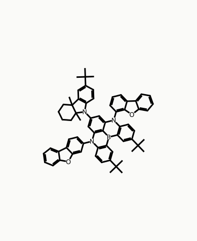 CC(C)(C)c1ccc2c(c1)B1c3cc(C(C)(C)C)ccc3N(c3cccc4c3oc3ccccc34)c3cc(N4c5ccc(C(C)(C)C)cc5C5(C)CCCCC45C)cc(c31)N2c1ccc2c(c1)oc1ccccc12